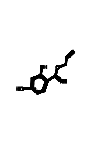 C=CCOC(=N)c1ccc(O)cc1O